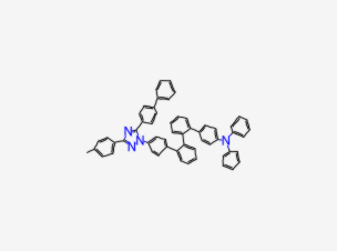 Cc1ccc(-c2nc(-c3ccc(-c4ccccc4)cc3)n(-c3ccc(-c4ccccc4-c4ccccc4-c4ccc(N(c5ccccc5)c5ccccc5)cc4)cc3)n2)cc1